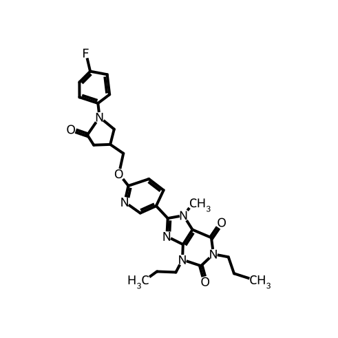 CCCn1c(=O)c2c(nc(-c3ccc(OCC4CC(=O)N(c5ccc(F)cc5)C4)nc3)n2C)n(CCC)c1=O